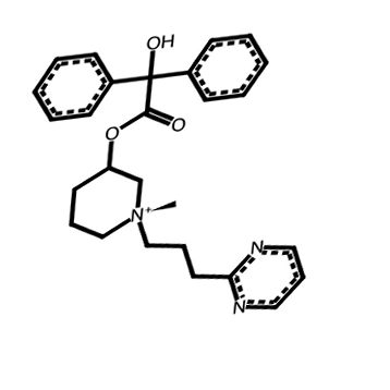 C[N@@+]1(CCCc2ncccn2)CCCC(OC(=O)C(O)(c2ccccc2)c2ccccc2)C1